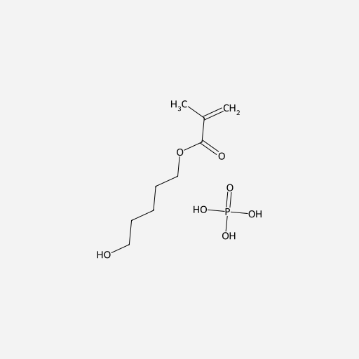 C=C(C)C(=O)OCCCCCO.O=P(O)(O)O